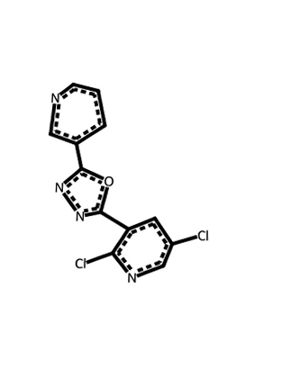 Clc1cnc(Cl)c(-c2nnc(-c3cccnc3)o2)c1